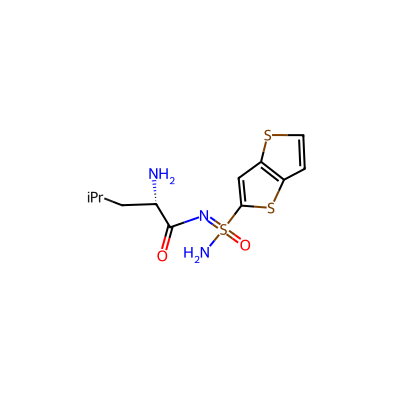 CC(C)C[C@H](N)C(=O)N=S(N)(=O)c1cc2sccc2s1